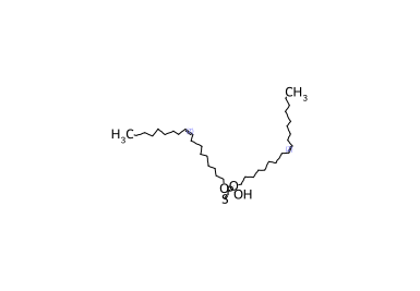 CCCCCCCC/C=C\CCCCCCCCOP(O)(=S)OCCCCCCCC/C=C\CCCCCCCC